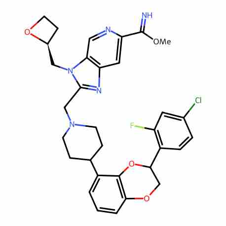 COC(=N)c1cc2nc(CN3CCC(c4cccc5c4OC(c4ccc(Cl)cc4F)CO5)CC3)n(C[C@@H]3CCO3)c2cn1